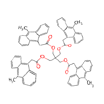 Cc1c2ccccc2c(CC(=O)OCC(COC(=O)Cc2c3ccccc3c(C)c3ccccc23)(COC(=O)Cc2c3ccccc3c(C)c3ccccc23)COC(=O)Cc2c3ccccc3c(C)c3ccccc23)c2ccccc12